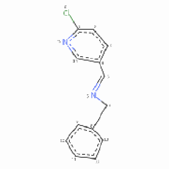 Clc1ccc(C=NCc2ccccc2)cn1